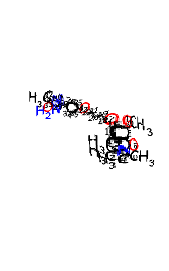 COc1cc(C(=O)N(C(C)C)C(C)C)ccc1OCCCCCOc1ccc(/C(N)=N/C(C)=O)cc1